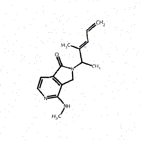 C=C/C=C(\C)C(C)N1Cc2c(ccnc2NC)C1=O